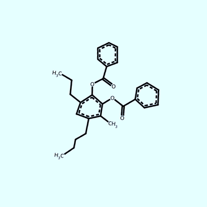 CCCCc1cc(CCC)c(OC(=O)c2ccccc2)c(OC(=O)c2ccccc2)c1C